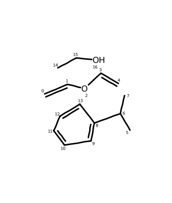 C=COC=C.CC(C)c1ccccc1.CCO